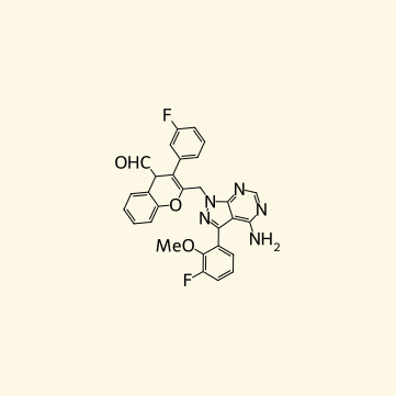 COc1c(F)cccc1-c1nn(CC2=C(c3cccc(F)c3)C(C=O)c3ccccc3O2)c2ncnc(N)c12